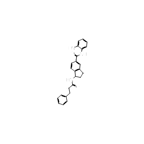 Nc1ccccc1NC(=O)c1ccc2c(c1)CCC2NC(=O)CCc1ccccc1